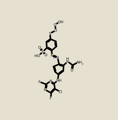 NC(=O)Nc1cc(Nc2nc(F)nc(F)c2Cl)ccc1/N=N/c1ccc(SOOO)cc1S(=O)(=O)O